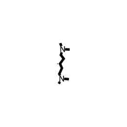 CN(C)CC[CH]CCN(C)C